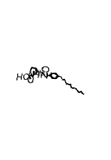 CCCCCCCCCCc1ccc(NC(=O)[C@@H]2CCCN(C(=O)O)C2)cc1